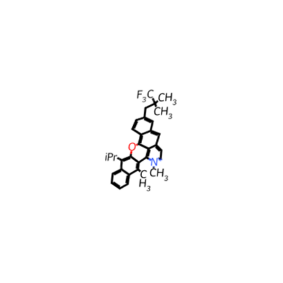 Cc1c2c(c(C(C)C)c3ccccc13)Oc1c3ccc(CC(C)(C)C(F)(F)F)cc3cc3cc[n+](C)c-2c13